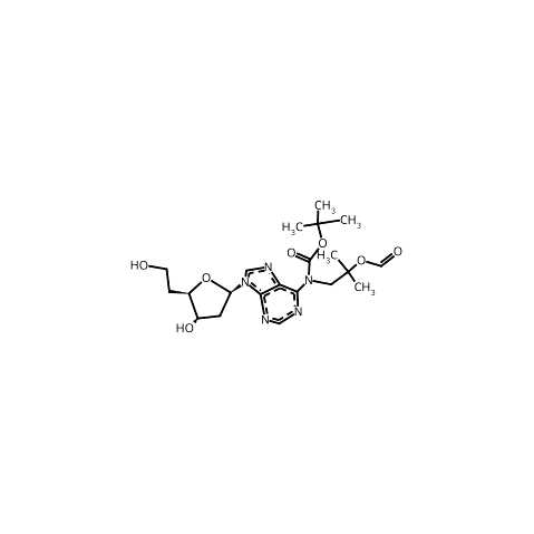 CC(C)(C)OC(=O)N(CC(C)(C)OC=O)c1ncnc2c1ncn2[C@H]1C[C@@H](O)[C@@H](CCO)O1